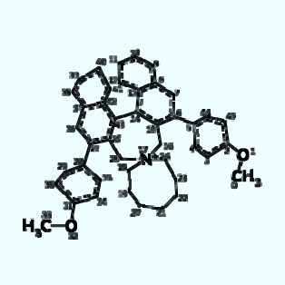 COc1ccc(-c2cc3ccccc3c3c2C[N+]2(CCCCCCC2)Cc2c(-c4ccc(OC)cc4)cc4ccccc4c2-3)cc1